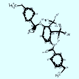 CCc1ccc(C(=O)Oc2ccc(OC(=O)c3ccc(CC)cc3)c(C(F)(F)F)c2C(F)(F)F)cc1